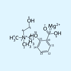 C[N+](C)(C)CCO.O=C(O)c1ccccc1O.[Mg+2]